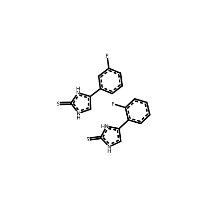 Fc1cccc(-c2c[nH]c(=S)[nH]2)c1.Fc1ccccc1-c1c[nH]c(=S)[nH]1